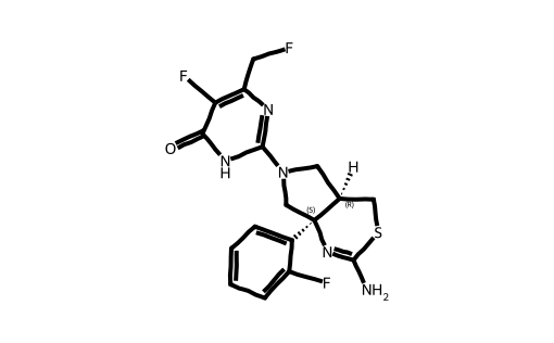 NC1=N[C@@]2(c3ccccc3F)CN(c3nc(CF)c(F)c(=O)[nH]3)C[C@H]2CS1